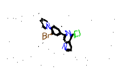 Clc1nc(-c2ccc(N3CCCCC3)c(Br)c2)cc2ncccc12